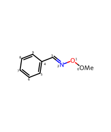 COON=Cc1ccccc1